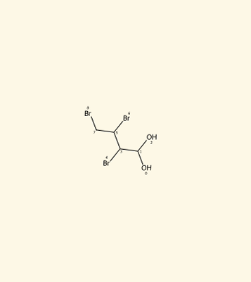 OC(O)C(Br)C(Br)CBr